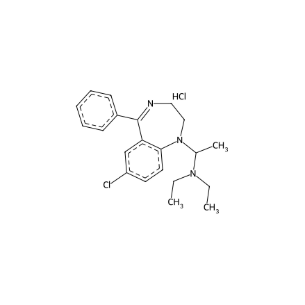 CCN(CC)C(C)N1CCN=C(c2ccccc2)c2cc(Cl)ccc21.Cl